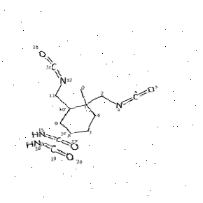 CC1(CN=C=O)CCCCC1CN=C=O.N=C=O.N=C=O